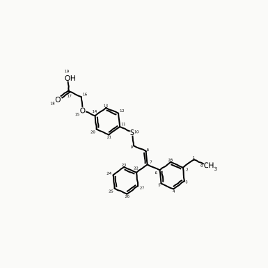 CCc1cccc(C(=CCSc2ccc(OCC(=O)O)cc2)c2ccccc2)c1